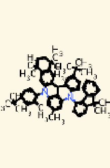 Cc1cc2c3c(c1)N(c1cccc4c1-c1ccccc1C4(C)C)c1ccc(C(C)(C)C)cc1C3c1cc3c(cc1N2c1ccc(C(C)(C)C)cc1C)C(C)(C)CCC3(C)C